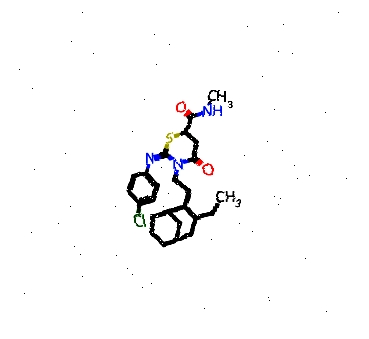 CCC1CC2CCCC(C2)C1CCN1C(=O)CC(C(=O)NC)S/C1=N/c1ccc(Cl)cc1